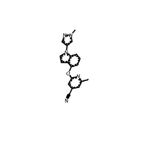 Cc1cc(C#N)cc(Oc2cccc3c2ccn3-c2cnn(C)c2)n1